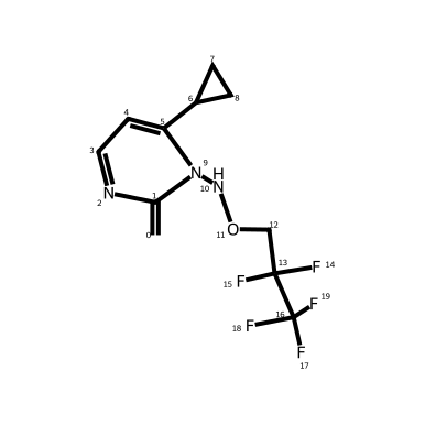 C=C1N=CC=C(C2CC2)N1NOCC(F)(F)C(F)(F)F